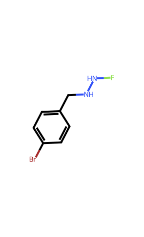 FNNCc1ccc(Br)cc1